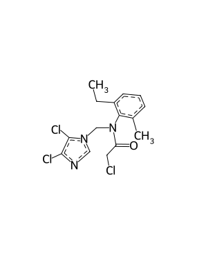 CCc1cccc(C)c1N(Cn1cnc(Cl)c1Cl)C(=O)CCl